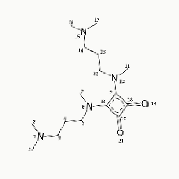 CN(C)CCCN(C)c1c(N(C)CCCN(C)C)c(=O)c1=O